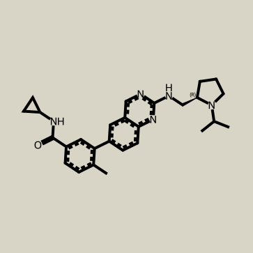 Cc1ccc(C(=O)NC2CC2)cc1-c1ccc2nc(NC[C@H]3CCCN3C(C)C)ncc2c1